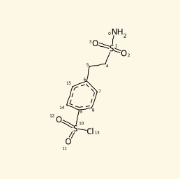 NS(=O)(=O)CCc1ccc(S(=O)(=O)Cl)cc1